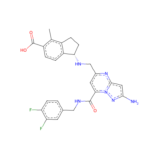 Cc1c(C(=O)O)ccc2c1CC[C@@H]2NCc1cc(C(=O)NCc2ccc(F)c(F)c2)n2nc(N)cc2n1